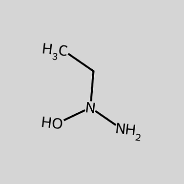 CCN(N)O